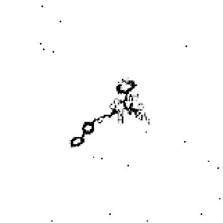 CC(C)(C(N)=O)[C@H](NC(=O)[CH]CSCc1ccc(-c2ccccc2)cc1)C(=O)Nc1ccncc1